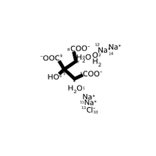 O.O.O.O=C([O-])CC(O)(CC(=O)[O-])C(=O)[O-].[Cl-].[Na+].[Na+].[Na+].[Na+]